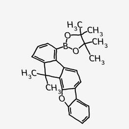 CC1(C)c2cccc(B3OC(C)(C)C(C)(C)O3)c2-c2ccc3c(oc4ccccc43)c21